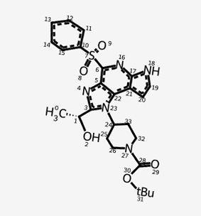 C[C@@H](O)c1nc2c(S(=O)(=O)c3ccccc3)nc3[nH]ccc3c2n1C1CCN(C(=O)OC(C)(C)C)CC1